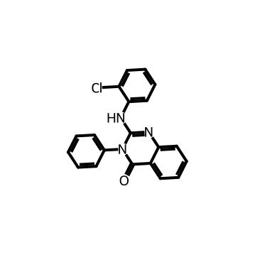 O=c1c2ccccc2nc(Nc2ccccc2Cl)n1-c1ccccc1